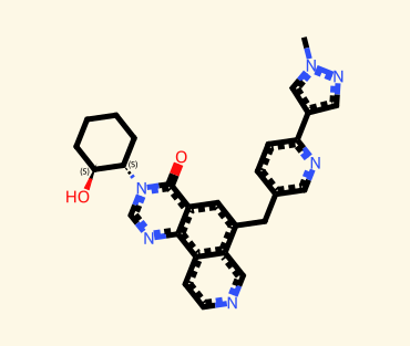 Cn1cc(-c2ccc(Cc3cc4c(=O)n([C@H]5CCCC[C@@H]5O)cnc4c4ccncc34)cn2)cn1